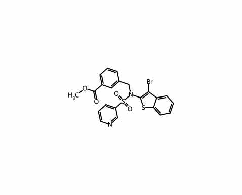 COC(=O)c1cccc(CN(c2sc3ccccc3c2Br)S(=O)(=O)c2cccnc2)c1